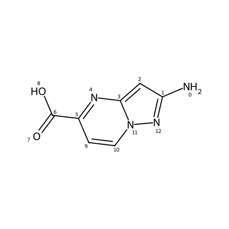 Nc1cc2nc(C(=O)O)ccn2n1